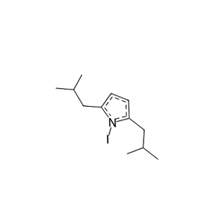 CC(C)Cc1ccc(CC(C)C)n1I